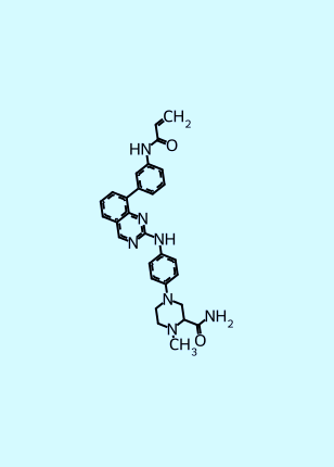 C=CC(=O)Nc1cccc(-c2cccc3cnc(Nc4ccc(N5CCN(C)C(C(N)=O)C5)cc4)nc23)c1